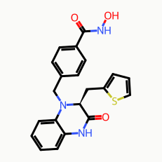 O=C(NO)c1ccc(CN2c3ccccc3NC(=O)[C@@H]2Cc2cccs2)cc1